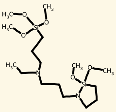 CCN(CCCN1CCC[Si]1(OC)OC)CCC[Si](OC)(OC)OC